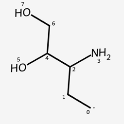 [CH2]CC(N)C(O)CO